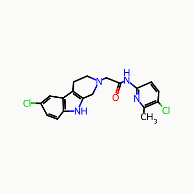 Cc1nc(NC(=O)CN2CCc3c([nH]c4ccc(Cl)cc34)C2)ccc1Cl